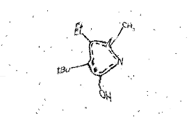 CCc1c(C(C)(C)C)c(O)nn1C